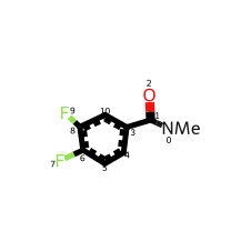 CNC(=O)c1ccc(F)c(F)c1